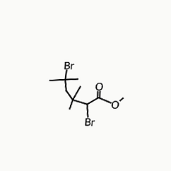 COC(=O)C(Br)C(C)(C)CC(C)(C)Br